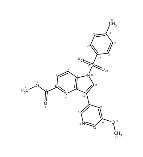 COC(=O)c1ccc2c(n1)c(-c1cncc(OC)c1)cn2S(=O)(=O)c1ccc(C)cc1